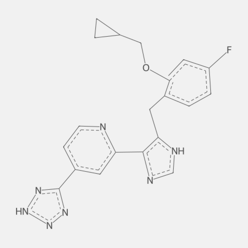 Fc1ccc(Cc2[nH]cnc2-c2cc(-c3nn[nH]n3)ccn2)c(OCC2CC2)c1